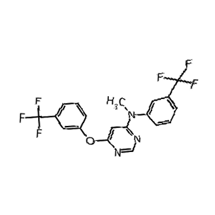 CN(c1cccc(C(F)(F)F)c1)c1cc(Oc2cccc(C(F)(F)F)c2)ncn1